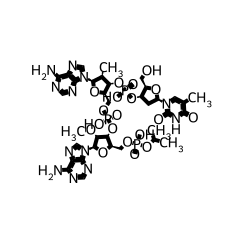 CO[C@@H]1[C@H](OP(=O)(O)OC[C@H]2O[C@@H](n3cnc4c(N)ncnc43)[C@H](C)[C@@H]2OP(=O)(O)O[C@H]2C[C@H](n3cc(C)c(=O)[nH]c3=O)O[C@@H]2CO)[C@@H](COP(=O)(O)OC(C)C)O[C@H]1n1cnc2c(N)ncnc21